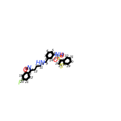 O=S(=O)(Nc1cccc(CNCCCc2noc3cc(F)ccc23)c1)c1csc2ccccc12